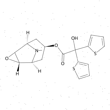 CN1[C@@H]2C[C@@H](OC(=O)C(O)(c3cccs3)c3cccs3)C[C@H]1[C@@H]1OC12